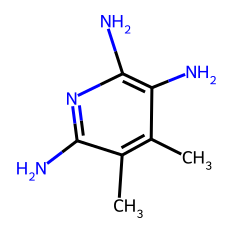 Cc1c(N)nc(N)c(N)c1C